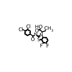 CCC(C(=O)O)n1c(=NC(=O)c2ccc(Cl)c(Cl)c2)sc2c(F)c(F)ccc21